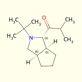 CC(C)C(=O)[C@@H]1[C@H]2CCC[C@H]2CN1C(C)(C)C